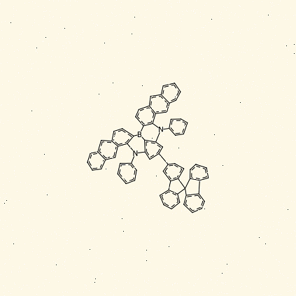 c1ccc(N2c3cc(-c4ccc5c(c4)-c4ccccc4C54c5ccccc5-c5ccccc54)cc4c3B(c3ccc5cc6ccccc6cc5c32)c2ccc3cc5ccccc5cc3c2N4c2ccccc2)cc1